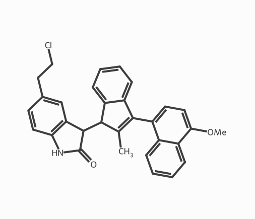 COc1ccc(C2=C(C)C(C3C(=O)Nc4ccc(CCCl)cc43)c3ccccc32)c2ccccc12